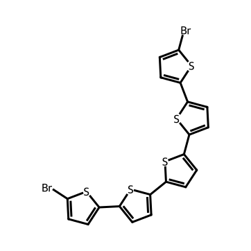 Brc1ccc(-c2ccc(-c3ccc(-c4ccc(-c5ccc(Br)s5)s4)s3)s2)s1